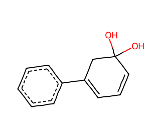 OC1(O)C=CC=C(c2ccccc2)C1